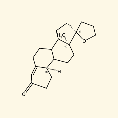 C[C@]12CCC3C(CCC4=CC(=O)CC[C@@H]43)C1CC[C@@]21CCCO1